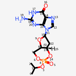 CC(C)OP1(=O)OCC2OC(n3cnc4c(=O)[nH]c(N)nc43)C[C@@H]2O1